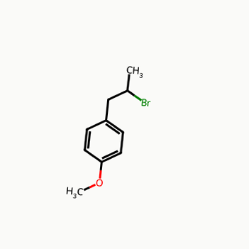 COc1ccc(CC(C)Br)cc1